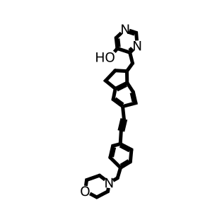 Oc1cncnc1CC1CCc2cc(C#Cc3ccc(CN4CCOCC4)cc3)ccc21